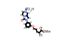 CC[C@H](CCCOc1cc(F)cc(N2CC3CN(C(=O)O)CCN3C2=O)c1)C(=O)OC